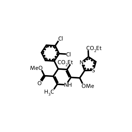 CCOC(=O)C1=C(C(OC)c2nc(C(=O)OCC)cs2)NC(C)=C(C(=O)OC)C1c1cccc(Cl)c1Cl